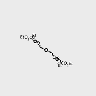 CCOC(=O)C(Cc1ccc(OCC=CC#Cc2ccc(C#CC=CCOc3ccc(CC(OCC)C(=O)OCC)cc3)cc2)cc1)OCC